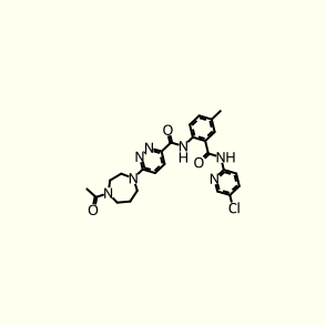 CC(=O)N1CCCN(c2ccc(C(=O)Nc3ccc(C)cc3C(=O)Nc3ccc(Cl)cn3)nn2)CC1